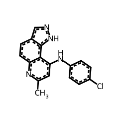 Cc1cc(Nc2ccc(Cl)cc2)c2c(ccc3cn[nH]c32)n1